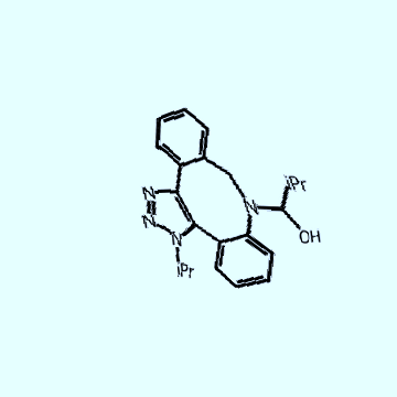 CC(C)C(O)N1Cc2ccccc2-c2nnn(C(C)C)c2-c2ccccc21